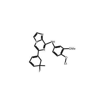 CCOc1ccc(Nc2nc(C3=CC=CC(C)(F)C3)cn3ccnc23)cc1OC